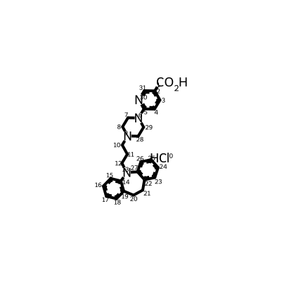 Cl.O=C(O)c1ccc(N2CCN(CCCN3c4ccccc4CCc4ccccc43)CC2)nc1